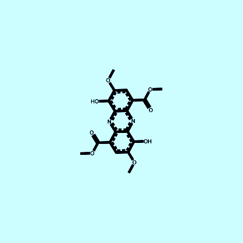 COC(=O)c1cc(OC)c(O)c2nc3c(C(=O)OC)cc(OC)c(O)c3nc12